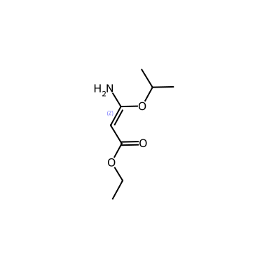 CCOC(=O)/C=C(/N)OC(C)C